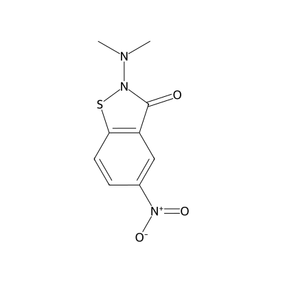 CN(C)n1sc2ccc([N+](=O)[O-])cc2c1=O